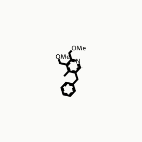 COCc1n[c]c(Cc2ccccc2)c(C)c1COC